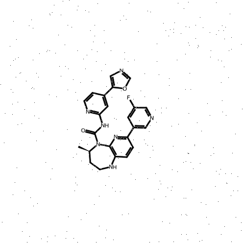 C[C@@H]1CCNc2ccc(-c3cncc(F)c3)nc2N1C(=O)Nc1cc(-c2cnco2)ccn1